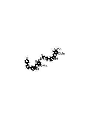 CCN1CCC(c2cncc(-c3cnc4[nH]cc(Cc5c(F)c(OC)cc(OCOC(C)(C)Cn6cc(-c7cnc8[nH]cc(Cc9c(F)c(OC)cc(OC)c9F)c8c7)cn6)c5F)c4c3)n2)CC1